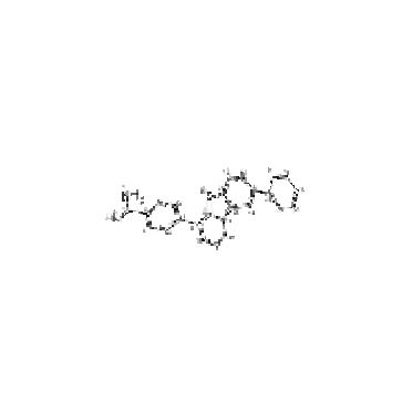 N=C(N)c1ccc(-c2cccc3c2sc2ccc(C4=CC=CCC4)cc23)cc1